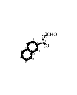 O=COS(=O)c1ccc2ccccc2c1